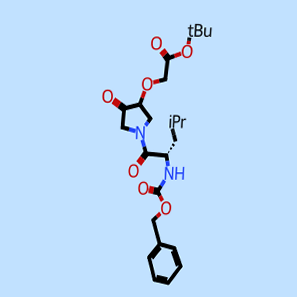 CC(C)C[C@H](NC(=O)OCc1ccccc1)C(=O)N1CC(=O)C(OCC(=O)OC(C)(C)C)C1